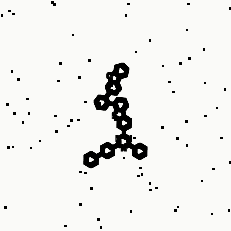 c1ccc(-c2ccc(-c3nc(-c4ccccc4)nc(-c4ccc5c(c4)sc4c(-c6ccccc6-c6ccc7c(c6)oc6ccccc67)cccc45)n3)cc2)cc1